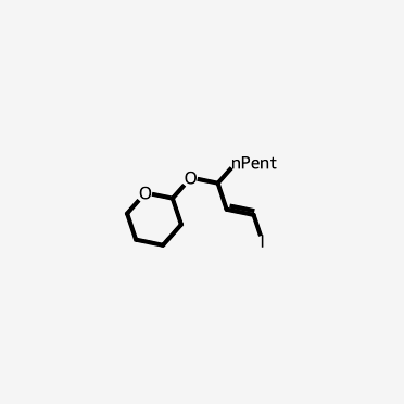 CCCCCC(C=CI)OC1CCCCO1